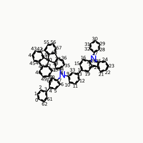 c1ccc(-c2ccc(N(c3cccc(-c4ccc5c(c4)c4ccccc4n5-c4ccccc4)c3)c3ccc4c(c3)C3(c5ccccc5-c5ccccc53)c3ccccc3-4)cc2)cc1